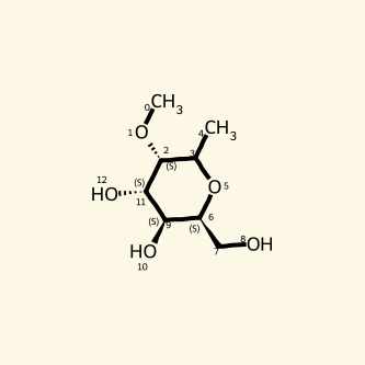 CO[C@@H]1C(C)O[C@@H](CO)[C@@H](O)[C@@H]1O